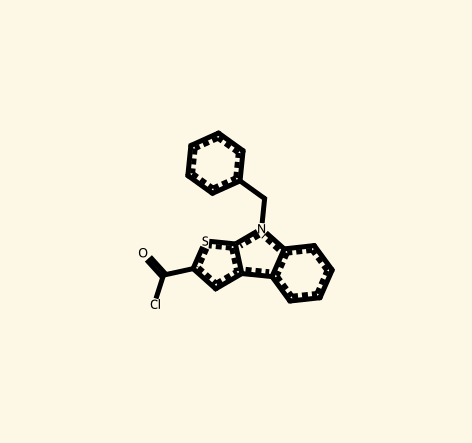 O=C(Cl)c1cc2c3ccccc3n(Cc3ccccc3)c2s1